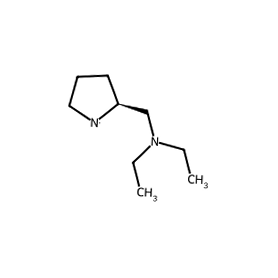 CCN(CC)C[C@@H]1CCC[N]1